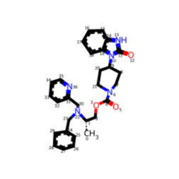 C[C@@H](COC(=O)N1CCC(n2c(=O)[nH]c3ccccc32)CC1)N(Cc1ccccc1)Cc1ccccn1